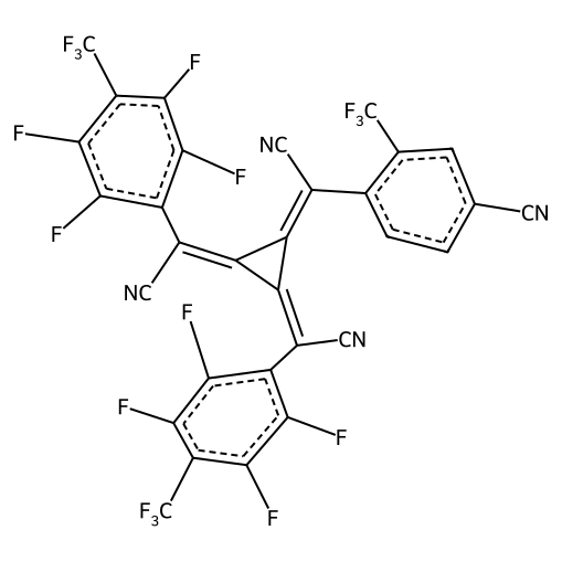 N#CC(=C1C(=C(\C#N)c2ccc(C#N)cc2C(F)(F)F)/C1=C(\C#N)c1c(F)c(F)c(C(F)(F)F)c(F)c1F)c1c(F)c(F)c(C(F)(F)F)c(F)c1F